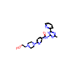 Cc1nc(NC(=O)c2ccc(N3CCN(CCO)CC3)nc2)nc(-c2ccccn2)n1